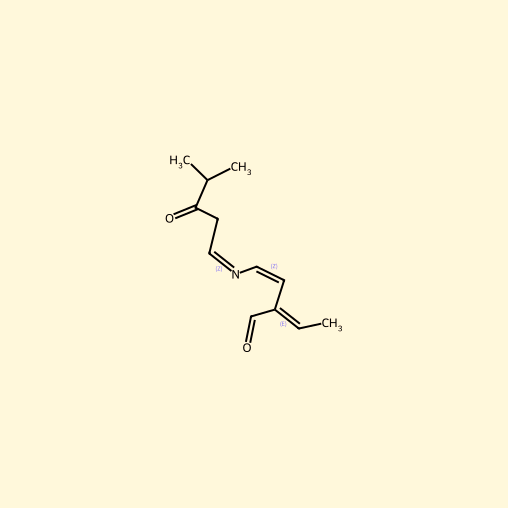 C\C=C(C=O)/C=C\N=C/CC(=O)C(C)C